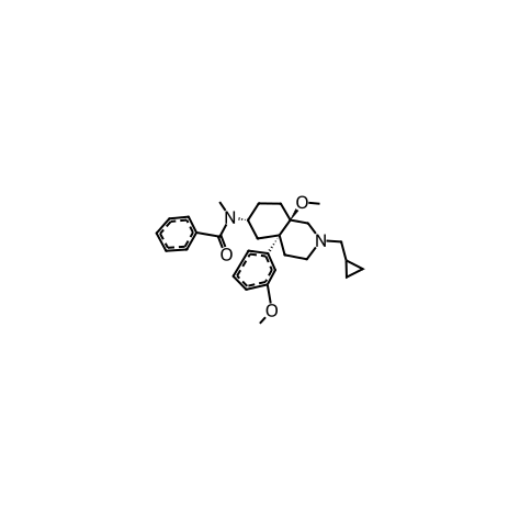 COc1cccc([C@@]23CCN(CC4CC4)C[C@@]2(OC)CC[C@@H](N(C)C(=O)c2ccccc2)C3)c1